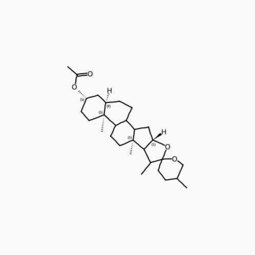 CC(=O)O[C@H]1CC[C@]2(C)C3CC[C@@]4(C)C(C[C@@H]5OC6(CCC(C)CO6)C(C)C54)C3CC[C@@H]2C1